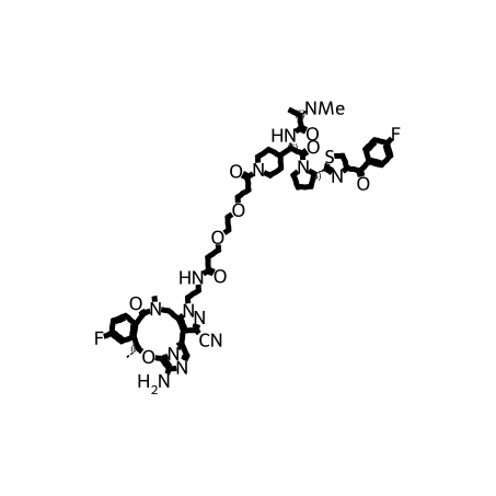 CN[C@@H](C)C(=O)N[C@H](C(=O)N1CCC[C@H]1C1=NC(C(=O)c2ccc(F)cc2)CS1)C1CCN(C(=O)CCOCCOCCC(=O)NCCn2nc(C#N)c3c2CN(C)C(=O)c2ccc(F)cc2[C@@H](C)Oc2nc-3cnc2N)CC1